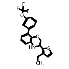 CCc1ccsc1C1COc2c(cccc2-c2cccc(OC(F)(F)F)c2)N1